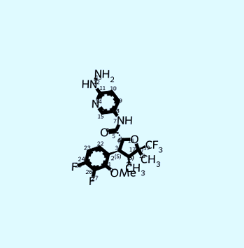 COc1c([C@H]2[C@H](C(=O)Nc3ccc(NN)nc3)O[C@@](C)(C(F)(F)F)[C@H]2C)ccc(F)c1F